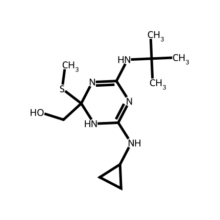 CSC1(CO)N=C(NC(C)(C)C)N=C(NC2CC2)N1